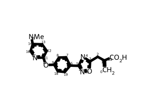 C=C(Cc1nc(-c2ccc(Oc3ccc(NC)cn3)cc2)no1)C(=O)O